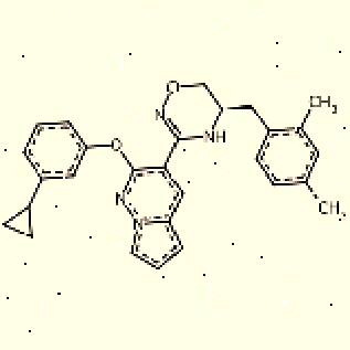 Cc1ccc(C[C@@H]2CON=C(c3cc4cccn4nc3Oc3cccc(C4CC4)c3)N2)c(C)c1